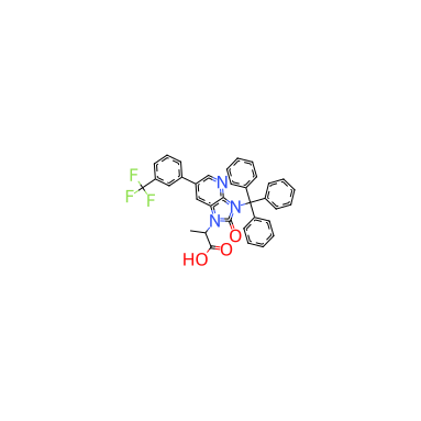 CC(C(=O)O)n1c(=O)n(C(c2ccccc2)(c2ccccc2)c2ccccc2)c2ncc(-c3cccc(C(F)(F)F)c3)cc21